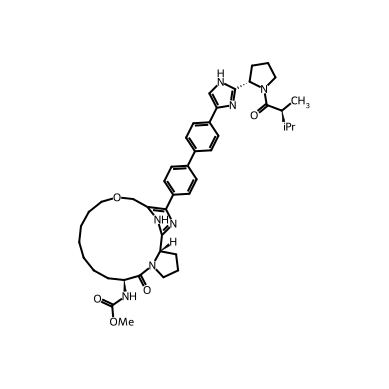 COC(=O)N[C@H]1CCCCCCCOCc2[nH]c(nc2-c2ccc(-c3ccc(-c4c[nH]c([C@@H]5CCCN5C(=O)[C@@H](C)C(C)C)n4)cc3)cc2)[C@@H]2CCCN2C1=O